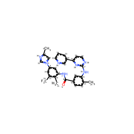 Cc1cn(-c2cc(NC(=O)c3ccc(C)c(Nc4nccc(-c5cccnc5)n4)c3)c(C)c(C(F)(F)F)c2)cn1